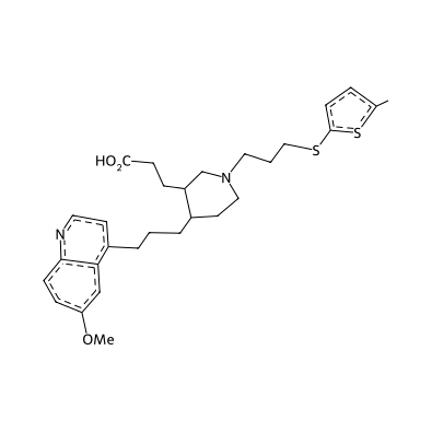 COc1ccc2nccc(CCCC3CCN(CCCSc4ccc(C)s4)CC3CCC(=O)O)c2c1